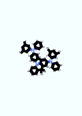 Cc1cc(C)cc(N(c2ccccc2)c2ccc3c(c2)c2cc(N(c4ccccc4)c4cc(C)cc(C)c4)cc4c2n3-c2ccccc2C4(C)C)c1